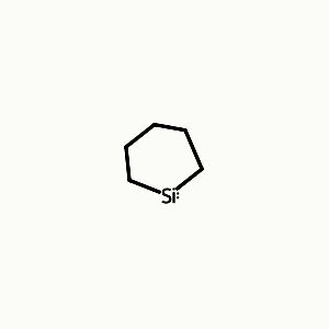 C1CC[Si]CC1